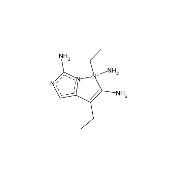 CCC1=C(N)[N+](N)(CC)n2c1cnc2N